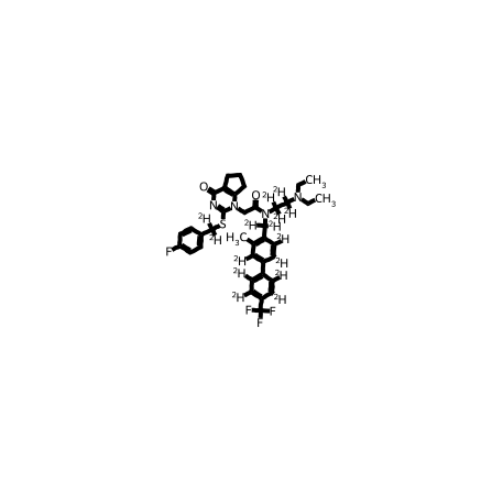 [2H]c1c([2H])c(C(F)(F)F)c([2H])c([2H])c1-c1c([2H])c([2H])c(C([2H])([2H])N(C(=O)Cn2c(SC([2H])([2H])c3ccc(F)cc3)nc(=O)c3c2CCC3)C([2H])([2H])C([2H])([2H])N(CC)CC)c(C)c1[2H]